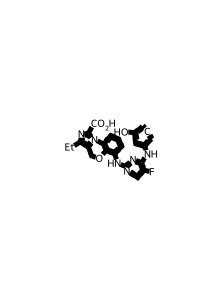 CCc1nc(C(=O)O)n2c1COc1c(Nc3ncc(F)c(Nc4cccc(O)c4)n3)cccc1-2